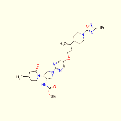 CC(C)c1noc(N2CCC([C@H](C)CCOc3cnc(N4C[C@H](NC(=O)OC(C)(C)C)[C@H](N5CC[C@@H](C)CC5=O)C4)nc3)CC2)n1